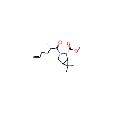 C=CCC[C@H](C)C(=O)N1CC2C([C@H]1C(=O)OC)C2(C)C